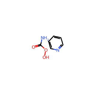 NC(=O)OO.c1ccncc1